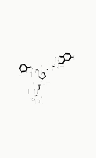 CC(C)(C)OC(=O)NCC(=O)N[C@@H]1C[C@@H](COC(=O)Nc2cc3cc(F)ccc3cn2)N(C(=O)NCc2cccc(F)c2Cl)C1